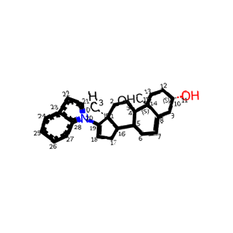 C[C@]12CCC3C(CC=C4C[C@@H](O)CC[C@@]43C=O)C1CC=C2n1ccc2ccccc21